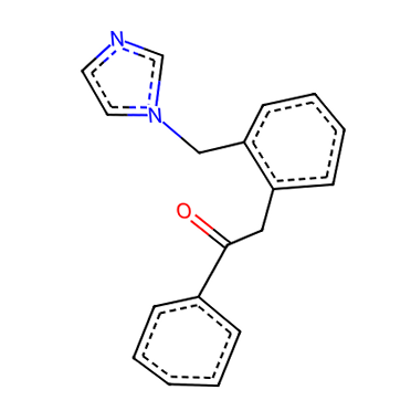 O=C(Cc1ccccc1Cn1ccnc1)c1ccccc1